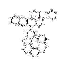 c1ccc(-c2ccc(N(c3cc4c5c(c3)oc3ccc6ccc7ccc8cccc-4c8c7c6c35)c3cc4ccccc4cc3-c3ccccc3)cc2)cc1